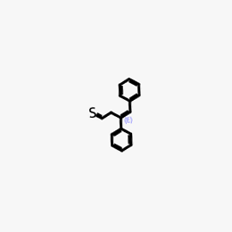 S=CC/C(=C\c1ccccc1)c1ccccc1